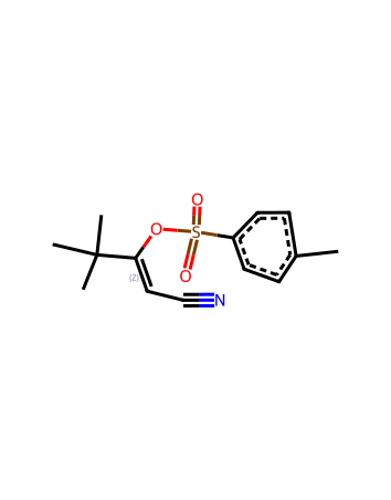 Cc1ccc(S(=O)(=O)O/C(=C\C#N)C(C)(C)C)cc1